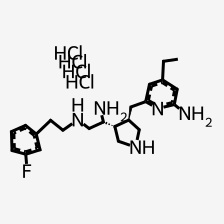 CCc1cc(N)nc(C[C@H]2CNC[C@@H]2C(N)CNCCc2cccc(F)c2)c1.Cl.Cl.Cl.Cl